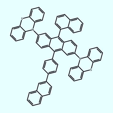 c1ccc2c(c1)Sc1ccccc1N2c1ccc2c(-c3cccc4ccccc34)c3cc(N4c5ccccc5Sc5ccccc54)ccc3c(-c3ccc(-c4ccc5ccccc5c4)cc3)c2c1